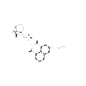 CC(=O)OCCOc1cc2c3c(cccc3c1)C(=O)N(OS(=O)(=O)CC13CCC(CC1=O)C3(C)C)C2=O